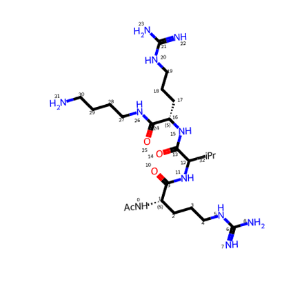 CC(=O)N[C@@H](CCCNC(=N)N)C(=O)NC(C(=O)N[C@@H](CCCNC(=N)N)C(=O)NCCCCN)C(C)C